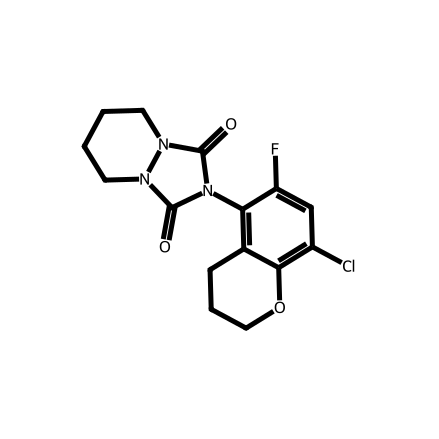 O=c1n(-c2c(F)cc(Cl)c3c2CCCO3)c(=O)n2n1CCCC2